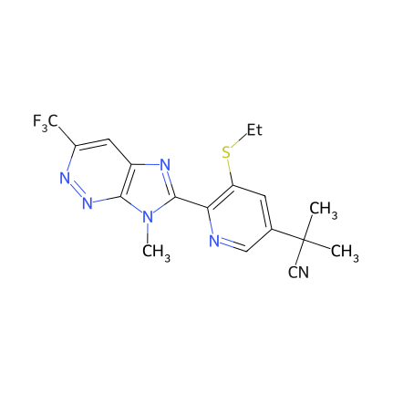 CCSc1cc(C(C)(C)C#N)cnc1-c1nc2cc(C(F)(F)F)nnc2n1C